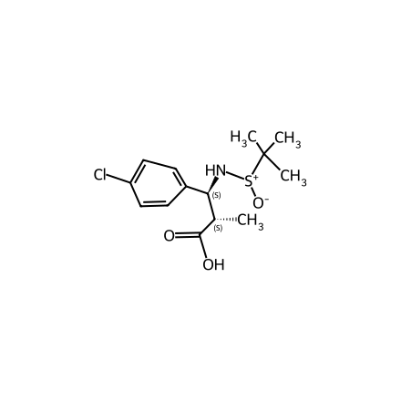 C[C@H](C(=O)O)[C@H](N[S+]([O-])C(C)(C)C)c1ccc(Cl)cc1